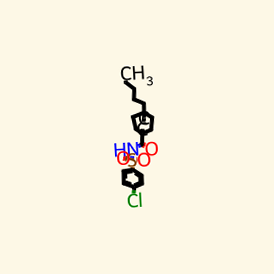 CCCCCC12CCC(C(=O)NS(=O)(=O)c3ccc(Cl)cc3)(CC1)CC2